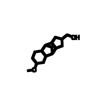 COC1CCC2C(C1)C1CC2C2CC(CO)CC21